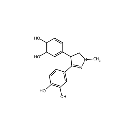 CN1CC(c2ccc(O)c(O)c2)C(c2ccc(O)c(O)c2)=N1